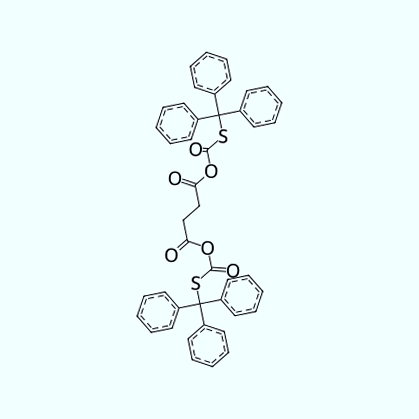 O=C(CCC(=O)OC(=O)SC(c1ccccc1)(c1ccccc1)c1ccccc1)OC(=O)SC(c1ccccc1)(c1ccccc1)c1ccccc1